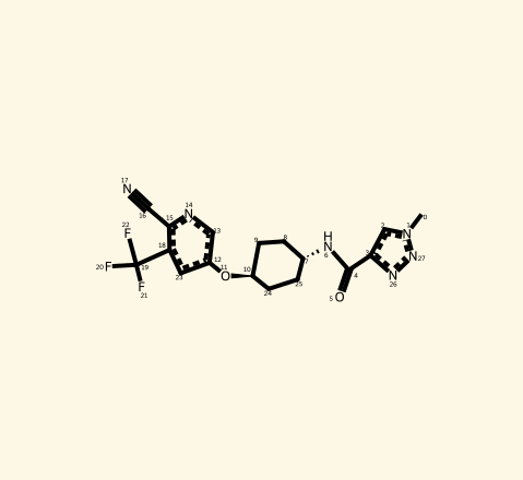 Cn1cc(C(=O)N[C@H]2CC[C@H](Oc3cnc(C#N)c(C(F)(F)F)c3)CC2)nn1